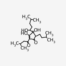 CC(C)CCC(O)[C@]1(O)C(O)=C(C(=O)CC(C)C)C(=O)C1CCC(C)C